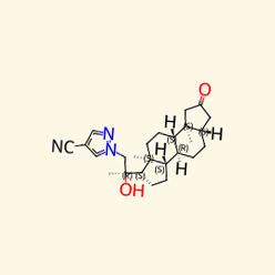 C[C@]12CC(=O)C[C@@H]1CC[C@@H]1[C@@H]2CC[C@@]2(C)[C@H]1CC[C@@H]2[C@@](C)(O)Cn1cc(C#N)cn1